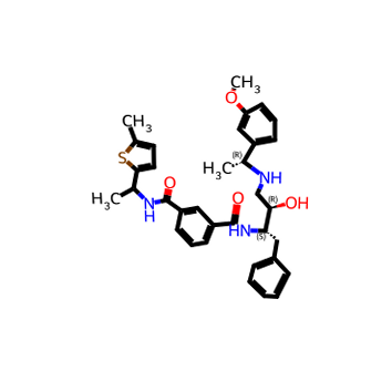 COc1cccc([C@@H](C)NC[C@@H](O)[C@H](Cc2ccccc2)NC(=O)c2cccc(C(=O)NC(C)c3ccc(C)s3)c2)c1